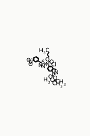 CCCCOC(=O)N(c1nnc(-c2cccc([N+](=O)[O-])c2)s1)c1ccc2c(cnn2C(=O)OC(C)(C)C)c1Cl